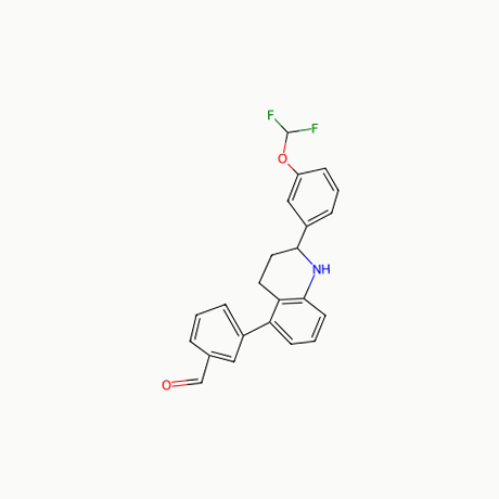 O=Cc1cccc(-c2cccc3c2CCC(c2cccc(OC(F)F)c2)N3)c1